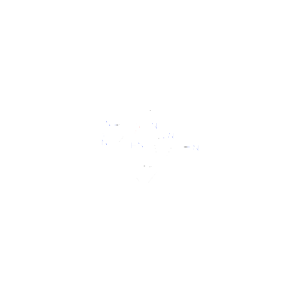 Cc1ccccc1-c1cc(C#N)nc(N2CCC(C)(F)C2)c1NC(=O)c1cnc(C(C)C)nc1